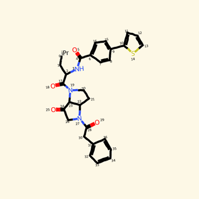 CC(C)CC(NC(=O)c1ccc(-c2cccs2)cc1)C(=O)N1CCC2C1C(=O)CN2C(=O)Cc1ccccc1